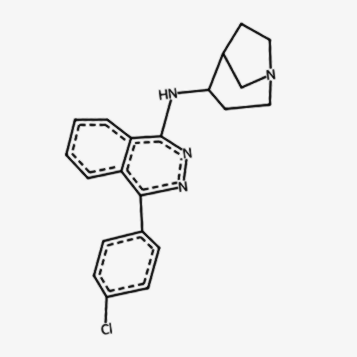 Clc1ccc(-c2nnc(NC3CCN4CCC3C4)c3ccccc23)cc1